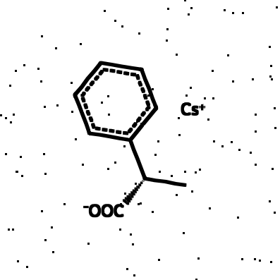 C[C@H](C(=O)[O-])c1ccccc1.[Cs+]